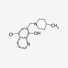 CC1CCN(Cc2cc(Cl)c3cccnc3c2O)CC1